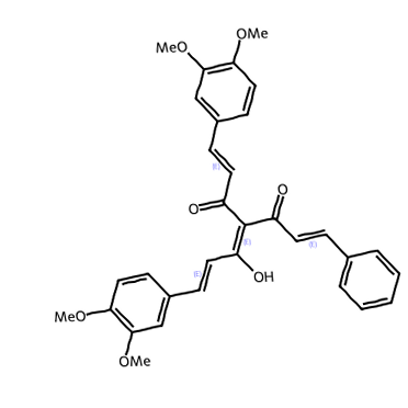 COc1ccc(/C=C/C(=O)/C(C(=O)/C=C/c2ccccc2)=C(O)\C=C\c2ccc(OC)c(OC)c2)cc1OC